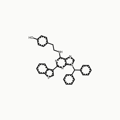 Oc1ccc(CCNc2nc(-c3csc4ccccc34)nc3c2ncn3C(c2ccccc2)c2ccccc2)cc1